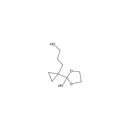 CCCC1(C2(CCCO)CC2)OCCO1